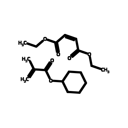 C=C(C)C(=O)OC1CCCCC1.CCOC(=O)/C=C\C(=O)OCC